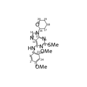 COc1ccc(Nc2nc(SC)nc3c2ncn3C2CCCCO2)c(OC)c1